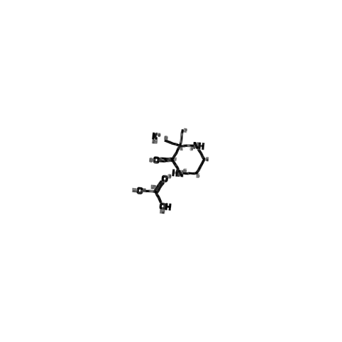 CC1(C)NCCNC1=O.O=C([O-])O.[K+]